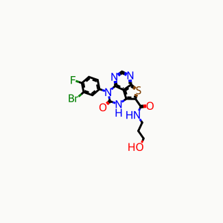 O=C(NCCCO)c1sc2ncnc3c2c1NC(=O)N3c1ccc(F)c(Br)c1